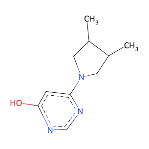 CC1CN(c2cc(O)ncn2)CC1C